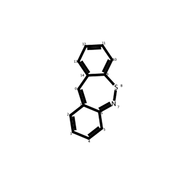 C1=c2ccccc2=NSc2ccccc21